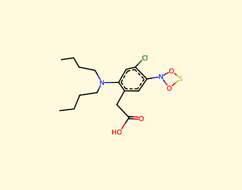 CCCCN(CCCC)c1cc(Cl)c(N2OSO2)cc1CC(=O)O